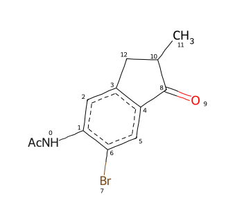 CC(=O)Nc1cc2c(cc1Br)C(=O)C(C)C2